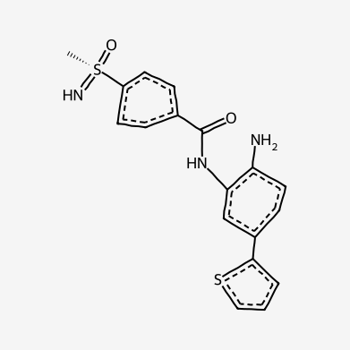 C[S@](=N)(=O)c1ccc(C(=O)Nc2cc(-c3cccs3)ccc2N)cc1